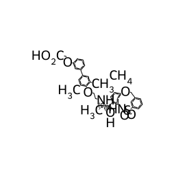 C.Cc1cc(-c2cccc(OCC(=O)O)c2)cc(C)c1OCCN[C@@H](C)[C@H](O)c1ccc2cc1NS(=O)(=O)c1cccc(c1)CO2